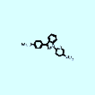 COc1ccc(-c2nn(C3CCC([N+](=O)[O-])CO3)c3ccccc23)cc1